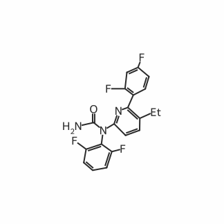 CCc1ccc(N(C(N)=O)c2c(F)cccc2F)nc1-c1ccc(F)cc1F